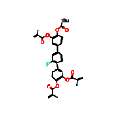 C=C(C)C(=O)Oc1ccc(-c2ccc(-c3ccc(OC(=O)C(C)(C)C)c(OC(=O)C(=C)C)c3)cc2F)cc1OC(=O)C(=C)C